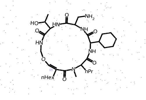 CCCCCC/C1=C/OCNC(=O)C(C(C)O)NC(=O)C(CN)NC(=O)C(C2CCCCC2)NC(=O)C(CCC)N(C)C1=O